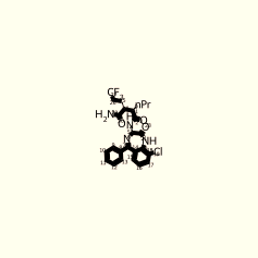 CCC[C@H](C(=O)N[C@H]1N=C(c2ccccc2)c2cccc(Cl)c2NC1=O)[C@@H](CCC(F)(F)F)C(N)=O